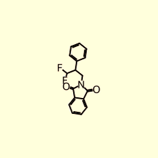 O=C1c2ccccc2C(=O)N1CC(c1ccccc1)C(F)F